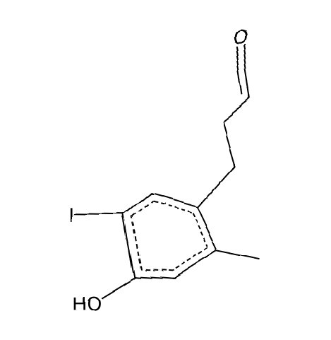 Cc1cc(O)c(I)cc1CCC=O